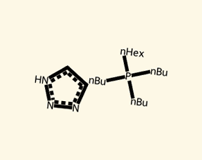 CCCCCC[P](CCCC)(CCCC)CCCC.c1c[nH]nn1